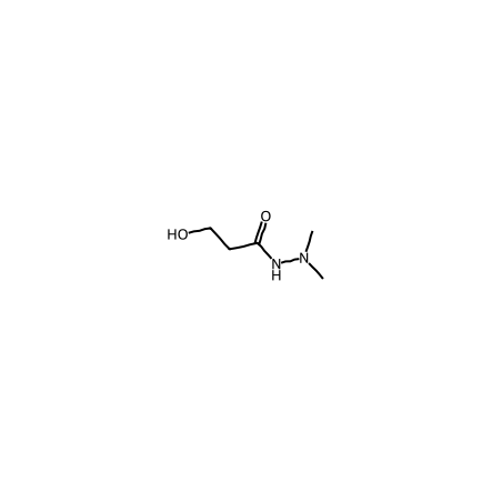 CN(C)NC(=O)CCO